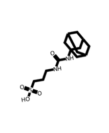 O=C(NCCCS(=O)(=O)O)NC12CC3CC(CC(C3)C1)C2